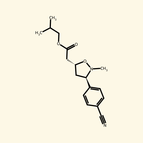 CC(C)COC(=O)C[C@H]1C[C@H](c2ccc(C#N)cc2)N(C)O1